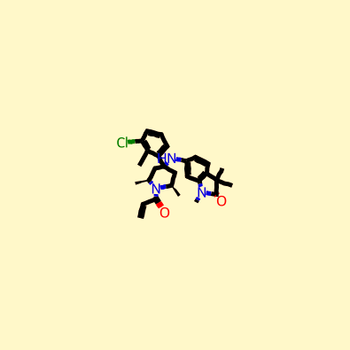 C=CC(=O)N1[C@H](C)CC(Nc2ccc3c(c2)N(C)C(=O)C3(C)C)(c2cccc(Cl)c2C)C[C@@H]1C